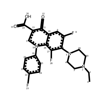 CCN1CCN(c2c(F)cc3c(=O)c(C(=O)O)cn(-c4ccc(F)cc4)c3c2F)CC1